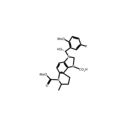 COC(=O)N1c2ccc3c(c2CCC1C)N(C(=O)O)CN3[C@H](O)c1cc(F)ccc1OC